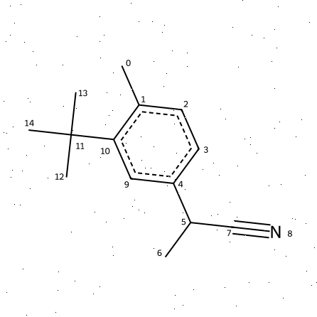 Cc1ccc(C(C)C#N)cc1C(C)(C)C